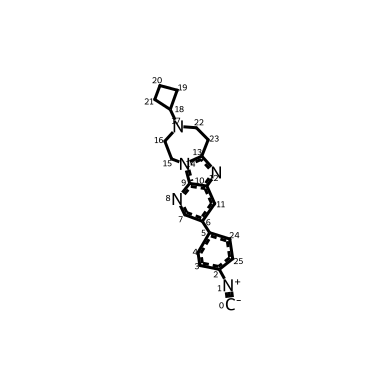 [C-]#[N+]c1ccc(-c2cnc3c(c2)nc2n3CCN(C3CCC3)CC2)cc1